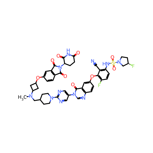 CN(CC1CCN(c2ncc(-n3cnc4ccc(Oc5c(F)ccc(NS(=O)(=O)N6CC[C@@H](F)C6)c5C#N)cc4c3=O)cn2)CC1)C1CC(Oc2ccc3c(c2)C(=O)N([C@@H]2CCC(=O)NC2=O)C3=O)C1